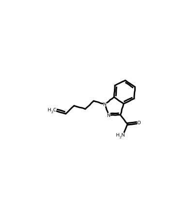 C=CCCCn1nc(C(N)=O)c2ccccc21